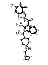 CSc1cc(C)[nH]c(=O)c1CNC(=O)c1c(C)n([C@H](C)C2CCC(NCC3COC3)CC2)c2ccccc12